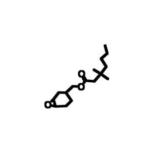 CCCCC(C)(C)CC(=O)OCC1CCC2OC2C1